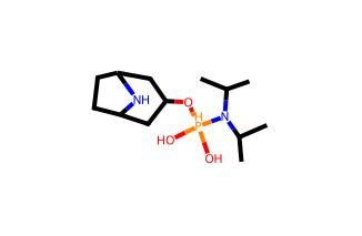 CC(C)N(C(C)C)[PH](O)(O)OC1CC2CCC(C1)N2